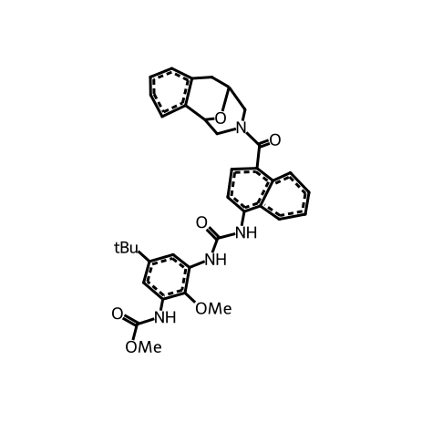 COC(=O)Nc1cc(C(C)(C)C)cc(NC(=O)Nc2ccc(C(=O)N3CC4Cc5ccccc5C(C3)O4)c3ccccc23)c1OC